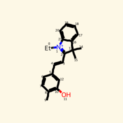 CC[N+]1=C(/C=C/c2ccc(C)c(O)c2)C(C)(C)c2ccccc21